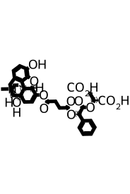 CN1CC[C@]23c4c5ccc(O)c4O[C@H]2C(OC(=O)CCC(=O)O[C@H](C(=O)O[C@@H](CC(=O)O)C(=O)O)c2ccccc2)=CC[C@@]3(O)[C@H]1C5